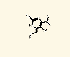 CCOC=C1NC(N)=NC(S(C)=S)=C1C#N